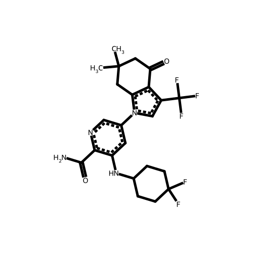 CC1(C)CC(=O)c2c(C(F)(F)F)cn(-c3cnc(C(N)=O)c(NC4CCC(F)(F)CC4)c3)c2C1